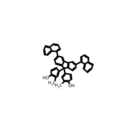 Cc1cc(C2(c3ccc(O)c(C)c3)c3ccc(-c4cccc5ccccc45)cc3-c3cc(-c4cccc5ccccc45)ccc32)ccc1O